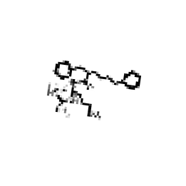 N=C(N)N[C@@](CCC[N+](=O)[O-])(NC(=O)C(CCCCc1ccccc1)Cc1ccccc1)C(=O)O